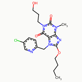 CCCCOc1nc2c(c(=O)n(CCCO)c(=O)n2C)n1Cc1ccc(Cl)cn1